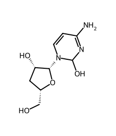 NC1=NC(O)N([C@@H]2O[C@H](CO)C[C@@H]2O)C=C1